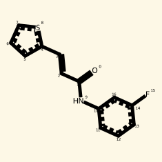 O=C(C=Cc1cccs1)Nc1cccc(F)c1